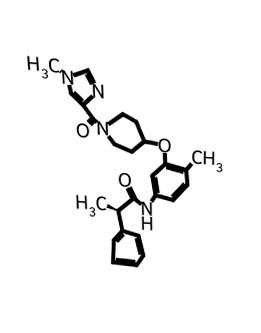 Cc1ccc(NC(=O)[C@H](C)c2ccccc2)cc1OC1CCN(C(=O)c2cn(C)cn2)CC1